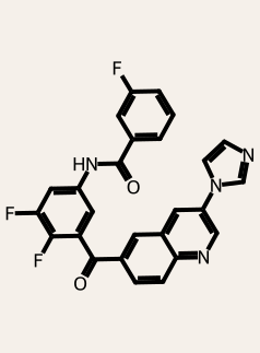 O=C(Nc1cc(F)c(F)c(C(=O)c2ccc3ncc(-n4ccnc4)cc3c2)c1)c1cccc(F)c1